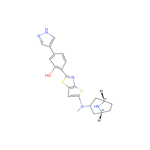 CN(c1cc2sc(-c3ccc(-c4cn[nH]c4)cc3O)nc2s1)C1C[C@H]2CC[C@@H](C1)N2